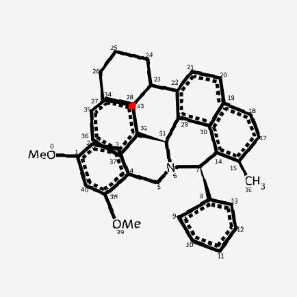 COc1ccc(CN2[C@H](c3ccccc3)c3c(C)ccc4ccc(C5CCCCC5)c(c34)[C@@H]2c2ccccc2)c(OC)c1